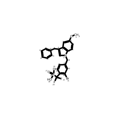 COc1ccc2c(c1)c(Cc1ccccc1)cn2Cc1ccc(C(F)(F)P(=O)(O)O)c(Br)c1